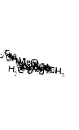 C=CC(=O)OCCCCOc1ccc(C(=O)Oc2ccc(C(=O)Oc3ccc(C)cc3)cc2OC)cc1C